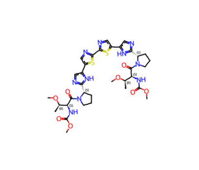 COC(=O)N[C@H](C(=O)N1CCC[C@H]1c1ncc(-c2cnc(-c3ncc(-c4cnc([C@@H]5CCCN5C(=O)[C@@H](NC(=O)OC)[C@@H](C)OC)[nH]4)s3)s2)[nH]1)[C@@H](C)OC